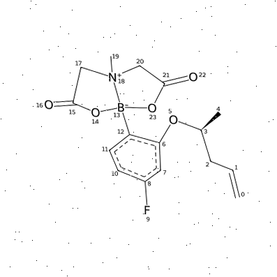 C=CC[C@H](C)Oc1cc(F)ccc1[B-]12OC(=O)C[N+]1(C)CC(=O)O2